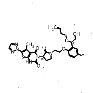 C=CCCO[C@@H](CO)c1cc(F)ccc1OCCN1CC[C@@H](n2c(=O)[nH]c3sc(-n4nccn4)c(C)c3c2=O)C1=O